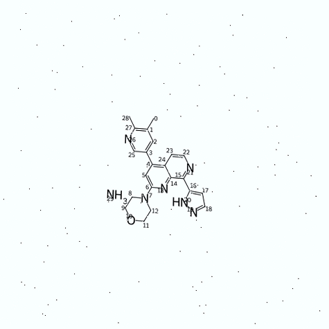 Cc1cc(-c2cc(N3CCOCC3)nc3c(-c4ccn[nH]4)nccc23)cnc1C.N